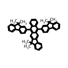 CC1(C)c2ccccc2-c2ccc(-c3c4ccccc4c(-c4ccc5c(c4)C(C)(C)c4ccccc4-5)c4cc5c(cc34)-c3ccccc3C5(C)C)cc21